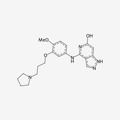 COc1ccc(Nc2nc(O)cc3[nH]ncc23)cc1OCCCN1CCCC1